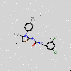 Cc1csc(=NC(=O)NCc2cc(Cl)cc(Cl)c2)n1-c1ccc(C(F)(F)F)cc1